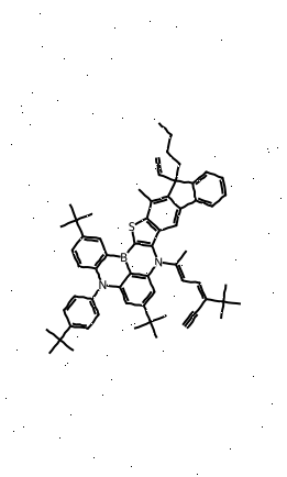 C#C/C(=C\C=C(/C)N1c2cc(C(C)(C)C)cc3c2B(c2cc(C(C)(C)C)ccc2N3c2ccc(C(C)(C)C)cc2)c2sc3c(C)c4c(cc3c21)-c1ccccc1C4(C=C)CCCC)C(C)(C)C